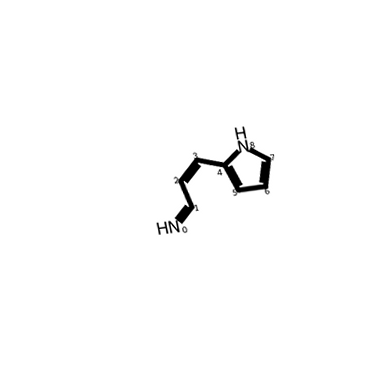 N=C/C=C\c1ccc[nH]1